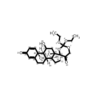 CCOC1(OCC)OCC(=O)[C@]2(CC[C@H]3[C@@H]4CCC5=CC(=O)C=C[C@]5(C)[C@H]4C(O)C[C@@]32C)O1